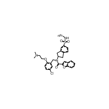 CCCNS(=O)(=O)c1ccc2c(c1)CC(N(Cc1cc(Cl)ccc1OCCN(C)C)C(=O)c1cc3ccccc3o1)C2